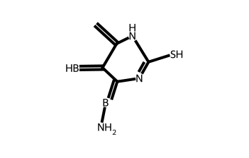 B=C1C(=C)NC(S)=N/C1=B/N